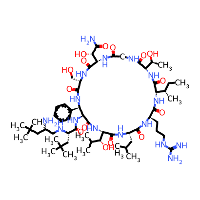 CC[C@H](C)[C@@H]1NC(=O)[C@@H](CCCNC(=N)N)NC(=O)[C@H](CC(C)C)NC(=O)[C@H]([C@H](O)C(C)C)NC(=O)[C@@H](NC(=O)[C@H](CC(C)(C)C)NC[C@@H](N)CC(C)(C)C)[C@@H](c2ccccc2)NC(=O)[C@H](CO)NC(=O)[C@H]([C@H](O)C(N)=O)NC(=O)CNC(=O)[C@H]([C@H](C)O)NC1=O